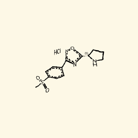 CS(=O)(=O)c1ccc(-c2noc([C@@H]3CCCN3)n2)cc1.Cl